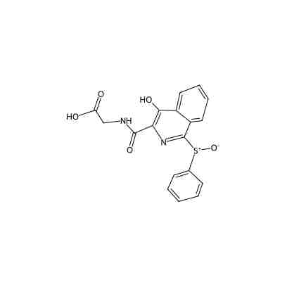 O=C(O)CNC(=O)c1nc([S+]([O-])c2ccccc2)c2ccccc2c1O